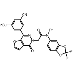 CCCCc1cc(C#N)cc(-c2nn(CC(=O)N(CC)c3ccc4c(c3)OC(F)(F)O4)c(=O)c3ccoc23)c1